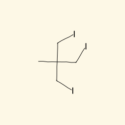 CC(CI)(CI)CI